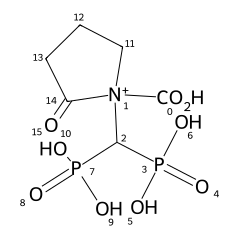 O=C(O)[N+]1(C(P(=O)(O)O)P(=O)(O)O)CCCC1=O